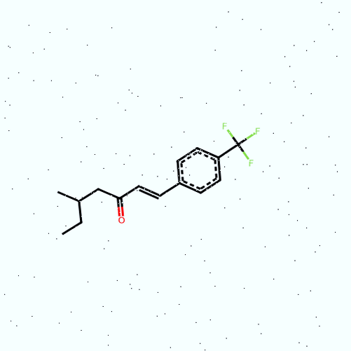 CCC(C)CC(=O)C=Cc1ccc(C(F)(F)F)cc1